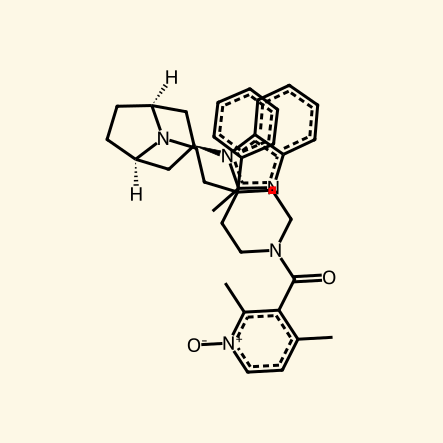 Cc1cc[n+]([O-])c(C)c1C(=O)N1CCC(CCN2[C@@H]3CC[C@H]2C[C@@H](n2c(C)nc4ccccc42)C3)(c2ccccc2)CC1